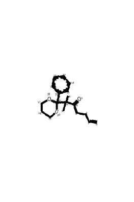 C=CCCC(=O)C(C)(C)C1(c2ccccc2)OCCCO1